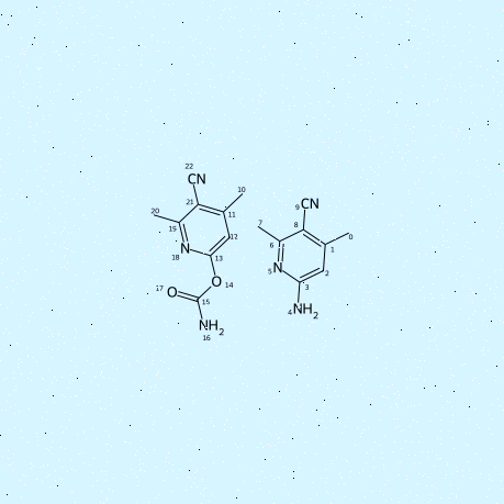 Cc1cc(N)nc(C)c1C#N.Cc1cc(OC(N)=O)nc(C)c1C#N